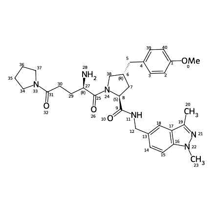 COc1ccc(C[C@@H]2C[C@@H](C(=O)NCc3ccc4c(c3)c(C)nn4C)N(C(=O)[C@H](N)CCC(=O)N3CCCC3)C2)cc1